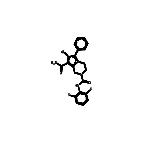 NC(=O)c1c(Cl)c(-c2ccccc2)n2c1CN(C(=O)Nc1c(F)cccc1F)CC2